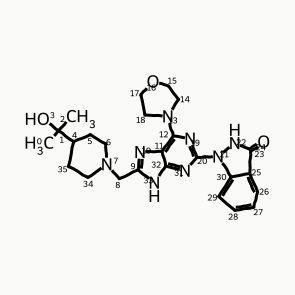 CC(C)(O)C1CCN(Cc2nc3c(N4CCOCC4)nc(-n4[nH]c(=O)c5ccccc54)nc3[nH]2)CC1